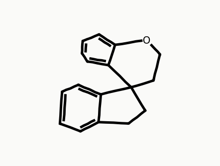 c1ccc2c(c1)CCC21CCOc2ccccc21